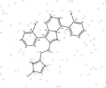 Cn1cnc(COc2nn3c(-c4ccccc4F)nncc3c2-c2ccccc2F)n1